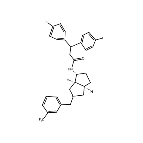 O=C(CC(c1ccc(F)cc1)c1ccc(F)cc1)N[C@@H]1CC[C@H]2CN(Cc3cccc(C(F)(F)F)c3)C[C@H]21